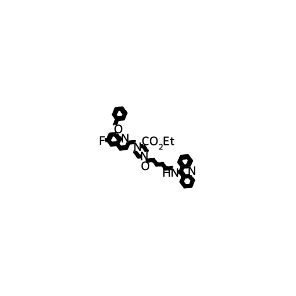 CCOC(=O)C1CN(C(=O)CCCCCNc2c3c(nc4ccccc24)CCCC3)CCN1Cc1ccc2cc(F)cc(OCc3ccccc3)c2n1